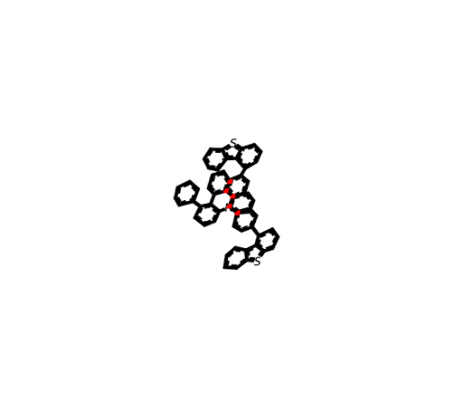 c1ccc(-c2ccccc2-c2c(-c3ccccc3)cccc2N(c2ccc(-c3cccc4sc5ccccc5c34)cc2)c2ccc(-c3cccc4sc5ccccc5c34)cc2)cc1